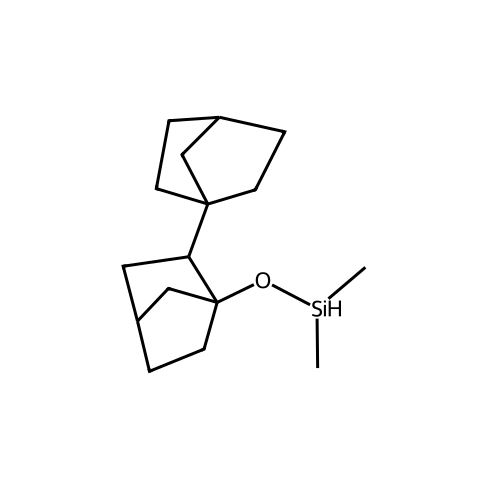 C[SiH](C)OC12CCC(CC1C13CCC(CC1)C3)C2